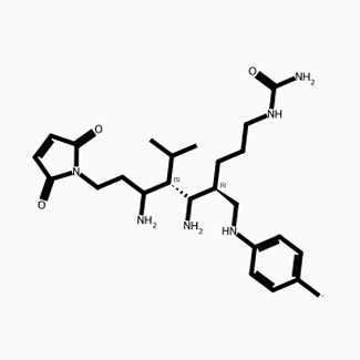 [CH2]c1ccc(NC[C@H](CCCNC(N)=O)C(N)[C@@H](C(C)C)C(N)CCN2C(=O)C=CC2=O)cc1